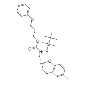 CC(C)(C)[Si](C)(C)ON(C[C@H]1CCc2cc(I)ccc2O1)C(=O)OCCCOc1ccccc1